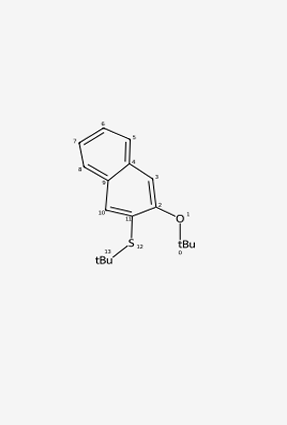 CC(C)(C)Oc1cc2ccccc2cc1SC(C)(C)C